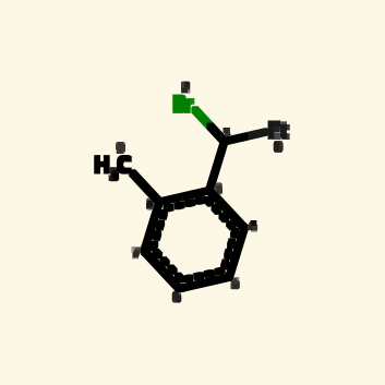 CCC(Br)c1ccccc1C